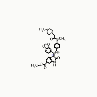 CCOC(=O)c1ccc2c(c1)NC(=O)/C2=C(\Nc1ccc(N(C)C(=O)CN2CCN(C)CC2)cc1)c1ccc2c(c1)OCO2